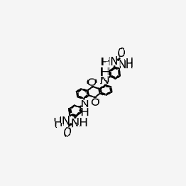 O=C1c2cccc(Nc3ccc4[nH]c(=O)[nH]c4c3)c2C(=O)c2cccc(Nc3ccc4[nH]c(=O)[nH]c4c3)c21